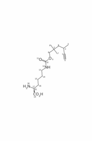 C#CC(C)CC(C)(C)COC(=O)NCCCC[C@H](N)C(=O)O